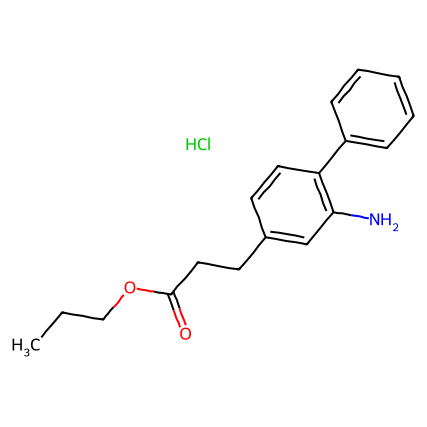 CCCOC(=O)CCc1ccc(-c2ccccc2)c(N)c1.Cl